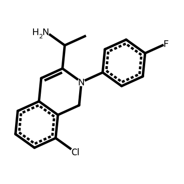 CC(N)C1=Cc2cccc(Cl)c2CN1c1ccc(F)cc1